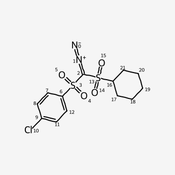 [N-]=[N+]=C(S(=O)(=O)c1ccc(Cl)cc1)S(=O)(=O)C1CCCCC1